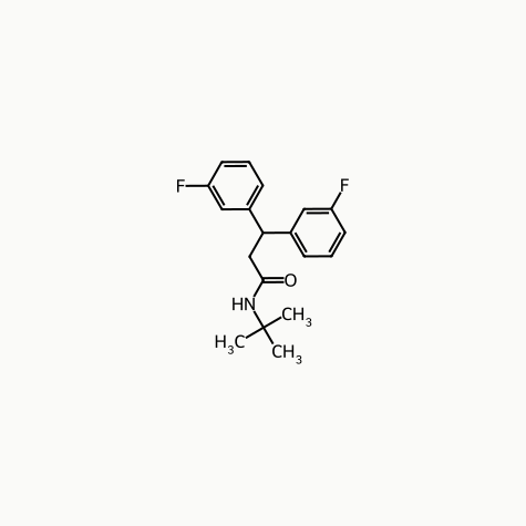 CC(C)(C)NC(=O)CC(c1cccc(F)c1)c1cccc(F)c1